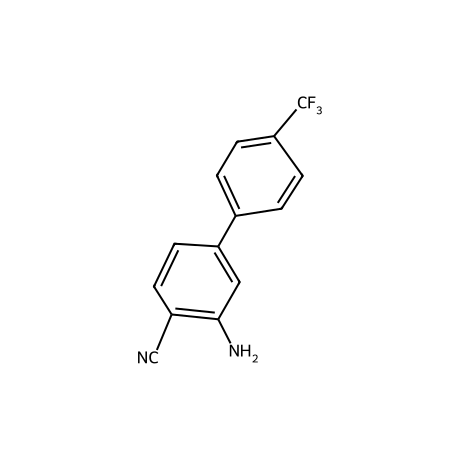 N#Cc1ccc(-c2ccc(C(F)(F)F)cc2)cc1N